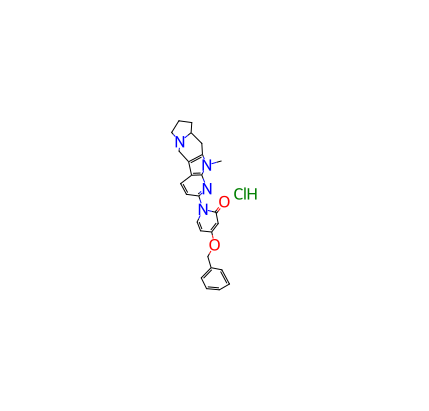 Cl.Cn1c2c(c3ccc(-n4ccc(OCc5ccccc5)cc4=O)nc31)CN1CCCC1C2